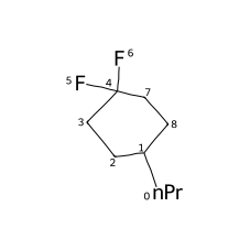 [CH2]CCC1CCC(F)(F)CC1